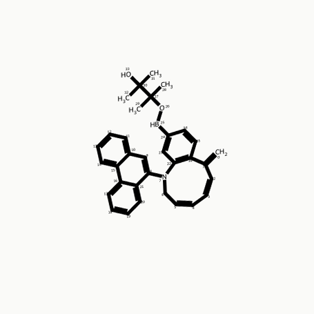 C=C1/C=C\C=C/CN(c2cc3ccccc3c3ccccc23)c2cc(BOC(C)(C)C(C)(C)O)ccc21